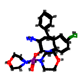 Nc1c(OP(=O)(N2CCOCC2)N2CCOCC2)nc2ccc(Cl)cc2c1-c1ccccc1